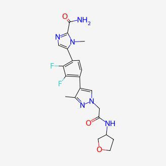 Cc1nn(CC(=O)NC2CCOC2)cc1-c1ccc(-c2cnc(C(N)=O)n2C)c(F)c1F